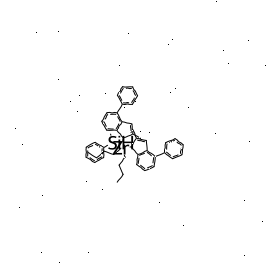 CCC[CH2][Zr]([CH2]CCC)([CH]1C(C)=Cc2c(-c3ccccc3)cccc21)([CH]1C(C)=Cc2c(-c3ccccc3)cccc21)[SiH](C)c1ccccc1